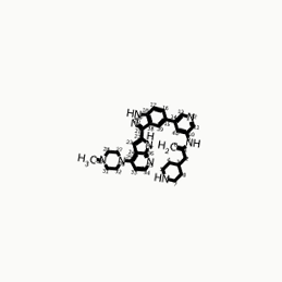 C=C(CC1CCNCC1)Nc1cncc(-c2ccc3[nH]nc(-c4cc5c(N6CCN(C)CC6)ccnc5[nH]4)c3c2)c1